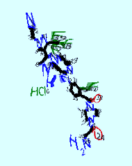 Cl.N#CCn1cc(-c2cnc3c(Nc4ccc(C(=O)N5CCN(C(=O)CN)CC5)c(F)c4)nccn23)c(C(F)(F)F)n1